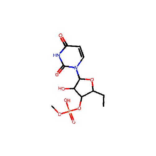 CCC1OC(n2ccc(=O)[nH]c2=O)C(O)C1OP(=O)(O)OC